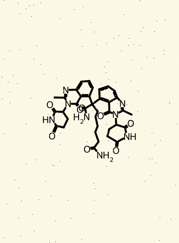 Cc1nc2cccc(C(CCCCCC(N)=O)(C(N)=O)c3cccc4nc(C)n(C5CCC(=O)NC5=O)c(=O)c34)c2c(=O)n1C1CCC(=O)NC1=O